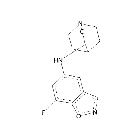 Fc1cc(NC2CN3CCC2CC3)cc2cnoc12